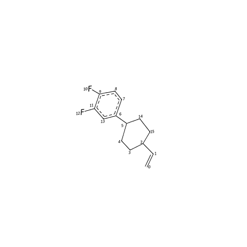 C=CC1CCC(c2ccc(F)c(F)c2)CC1